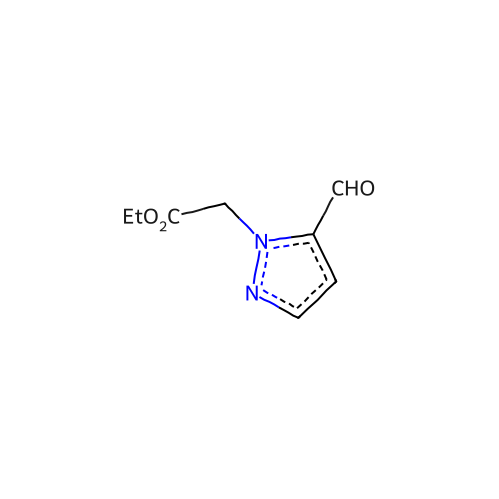 CCOC(=O)Cn1nccc1C=O